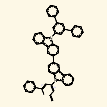 C=C/C=C(\C=C(/C)c1ccccc1)n1c2ccccc2c2cc(-c3ccc4c(c3)c3ccccc3n4-c3cc(-c4ccccc4)cc(-c4ccccc4)c3)ccc21